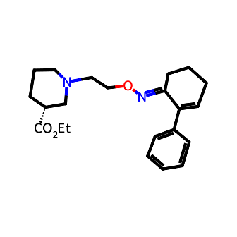 CCOC(=O)[C@@H]1CCCN(CCO/N=C2\CCCC=C2c2ccccc2)C1